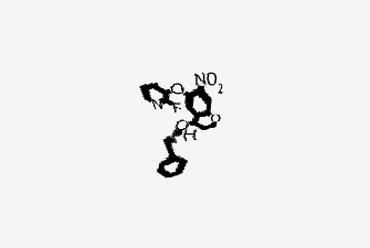 O=[N+]([O-])c1cc2c(cc1Oc1cccnc1F)C(OPCc1ccccc1)CCO2